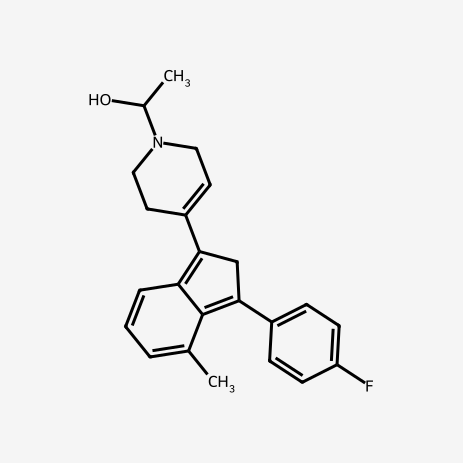 Cc1cccc2c1=C(c1ccc(F)cc1)CC=2C1=CCN(C(C)O)CC1